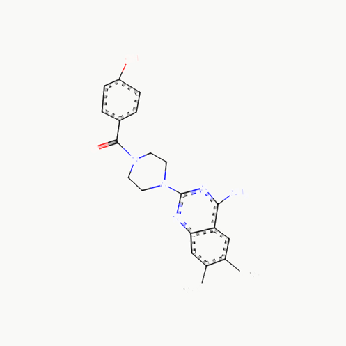 COc1cc2nc(N3CCN(C(=O)c4ccc(O)cc4)CC3)nc(N)c2cc1OC